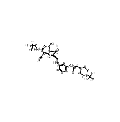 CCn1c(=C(C#N)C(=O)NCC(F)(F)F)sc(=CNc2cccc(NC(=O)CN3CCC(C(F)(F)F)CC3)c2)c1=O